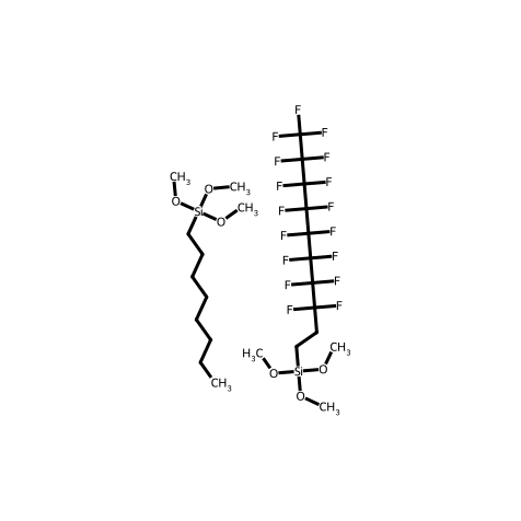 CCCCCCCC[Si](OC)(OC)OC.CO[Si](CCC(F)(F)C(F)(F)C(F)(F)C(F)(F)C(F)(F)C(F)(F)C(F)(F)C(F)(F)F)(OC)OC